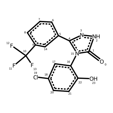 O=c1[nH]nc(-c2cccc(C(F)(F)F)c2)n1-c1cc(Cl)ccc1O